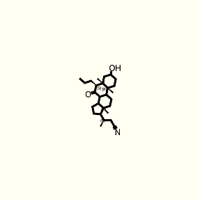 CCC[C@@H]1C(=O)C2C3CCC([C@H](C)CC#N)[C@@]3(C)CCC2[C@@]2(C)CCC(O)C[C@@]12C